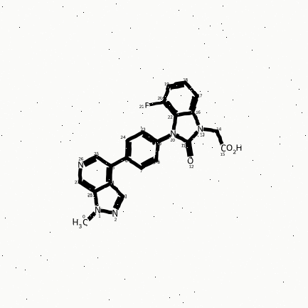 Cn1ncc2c(-c3ccc(-n4c(=O)n(CC(=O)O)c5cccc(F)c54)cc3)cncc21